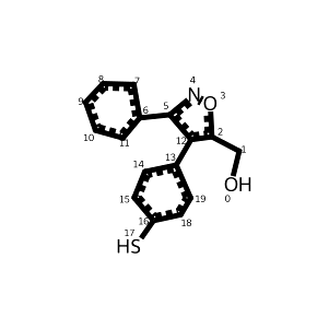 OCc1onc(-c2ccccc2)c1-c1ccc(S)cc1